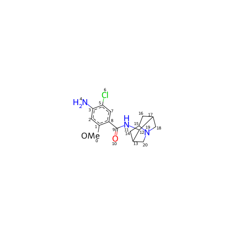 COc1cc(N)c(Cl)cc1C(=O)NC1C2CC3CC1CN3C2